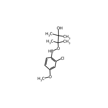 COc1ccc(BOC(C)(C)C(C)(C)O)c(Cl)c1